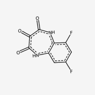 O=c1[nH]c2cc(F)cc(F)c2[nH]c(=O)c1=O